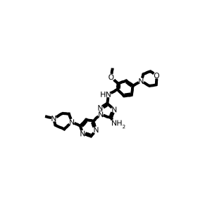 COc1cc(N2CCOCC2)ccc1Nc1nc(N)n(-c2cc(N3CCN(C)CC3)ncn2)n1